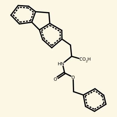 O=C(NC(Cc1ccc2c(c1)Cc1ccccc1-2)C(=O)O)OCc1ccccc1